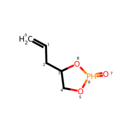 C=CCC1CO[PH](=O)O1